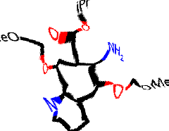 COCOC1=C(N)C(C(=O)OC(C)C)C(OCOC)c2ncccc21